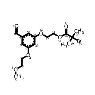 COCCOc1cc(C=O)cc(OCCOC(=O)C(C)(C)Br)c1